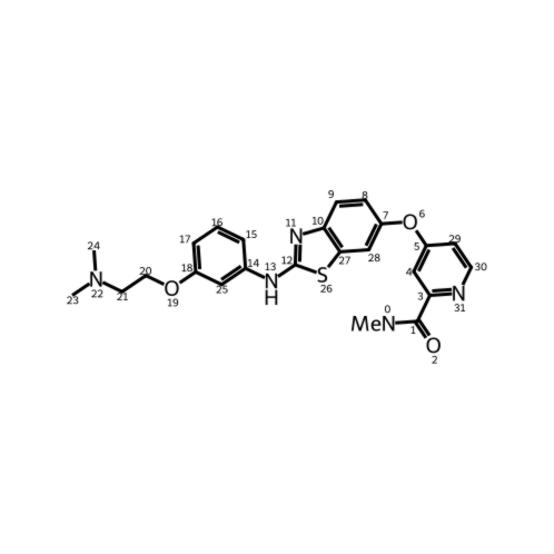 CNC(=O)c1cc(Oc2ccc3nc(Nc4cccc(OCCN(C)C)c4)sc3c2)ccn1